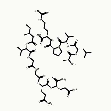 CC[C@H](C)[C@H](NC(=O)[C@H](CCCNC(=N)N)NC(=O)[C@@H]1CCCN1C(=O)[C@@H](NC(=O)[C@H](CC(C)C)NC(=O)[C@H](C)N)C(C)C)C(=O)N[C@H](C(=O)NCC(=O)NCC(=O)N[C@@H](CCC(N)=O)C(=O)N[C@@H](CCC(=O)O)C(N)=O)C(C)C